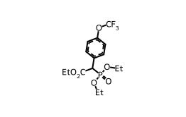 CCOC(=O)C(c1ccc(OC(F)(F)F)cc1)P(=O)(OCC)OCC